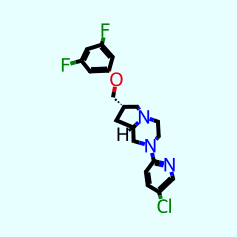 Fc1cc(F)cc(OC[C@H]2C[C@H]3CN(c4ccc(Cl)cn4)CCN3C2)c1